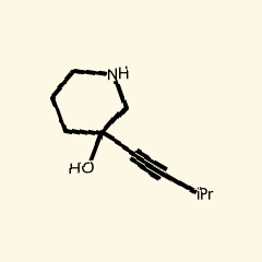 CC(C)C#CC1(O)CCCNC1